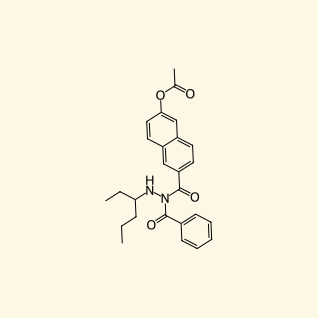 CCCC(CC)NN(C(=O)c1ccccc1)C(=O)c1ccc2cc(OC(C)=O)ccc2c1